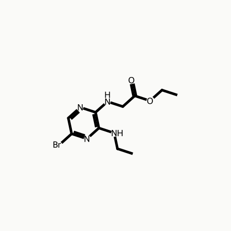 CCNc1nc(Br)cnc1NCC(=O)OCC